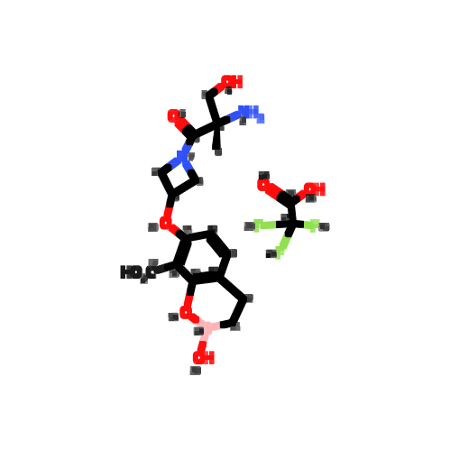 C[C@](N)(CO)C(=O)N1CC(Oc2ccc3c(c2C(=O)O)OB(O)CC3)C1.O=C(O)C(F)(F)F